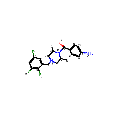 CC1CN(Cc2cc(F)cc(F)c2F)CC(C)N1C(=O)c1ccc(N)cc1